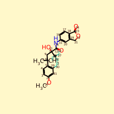 COc1ccc(C(C)(C)CC(O)(C(=O)Nc2ccc3c(c2)COC3=O)C(F)(F)F)c(F)c1